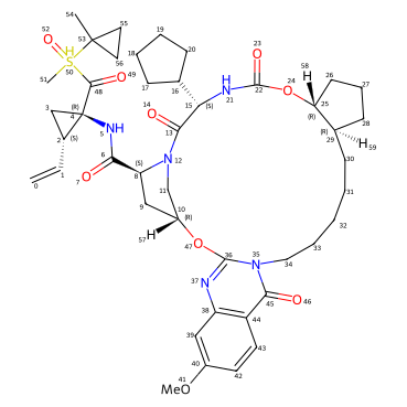 C=C[C@@H]1C[C@]1(NC(=O)[C@@H]1C[C@@H]2CN1C(=O)[C@H](C1CCCC1)NC(=O)O[C@@H]1CCC[C@H]1CCCCCn1c(nc3cc(OC)ccc3c1=O)O2)C(=O)[SH](C)(=O)C1(C)CC1